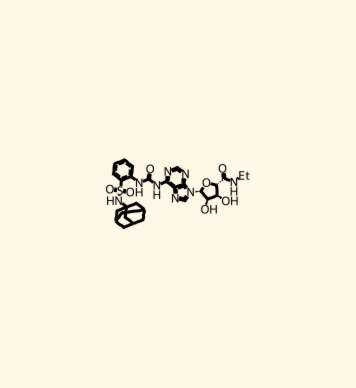 CCNC(=O)[C@H]1O[C@@H](n2cnc3c(NC(=O)Nc4ccccc4S(=O)(=O)NC45CC6CC(CC(C6)C4)C5)ncnc32)[C@H](O)[C@@H]1O